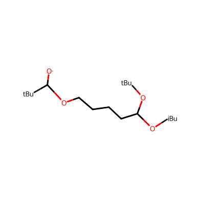 CCC(C)OC(CCCCOC([O])C(C)(C)C)OC(C)(C)C